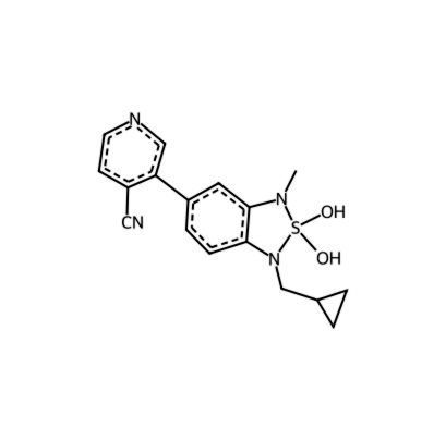 CN1c2cc(-c3cnccc3C#N)ccc2N(CC2CC2)S1(O)O